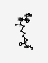 C[C@@H](CCCCOC(N)=O)N[S@+]([O-])C(C)(C)C